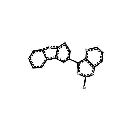 Brc1nc(-c2ccc3oc4ccccc4c3c2)c2ncccc2n1